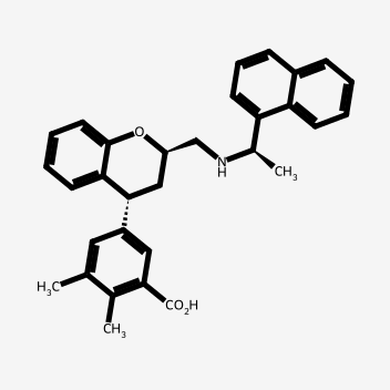 Cc1cc([C@H]2C[C@H](CN[C@H](C)c3cccc4ccccc34)Oc3ccccc32)cc(C(=O)O)c1C